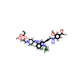 CCC(=O)OC(COC)CN1CCC(Nc2cccc3c2cc(C#CCNc2ccc(C(C)=O)cc2OC)n3CC(F)(F)F)CC1